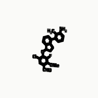 COc1c(C=O)cc(Cl)c(OC2CCc3c(-c4cccc(N)c4C)cccc32)c1F